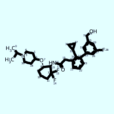 CC(C)N1CCC(O[C@H]2CCCC(F)(F)[C@@H]2NC(=O)Cc2cccc(-c3cc(F)cc(CO)c3)c2C2CC2)CC1